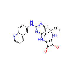 CC(C)(C)Nc1c(Nc2ccnc(Nc3ccc4ncccc4c3)n2)c(=O)c1=O